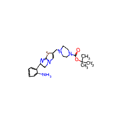 CC(C)(C)OC(=O)N1CCN(CC2=CN3CC(c4ccccc4N)N=C3S2)CC1